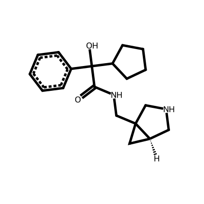 O=C(NCC12CNC[C@H]1C2)C(O)(c1ccccc1)C1CCCC1